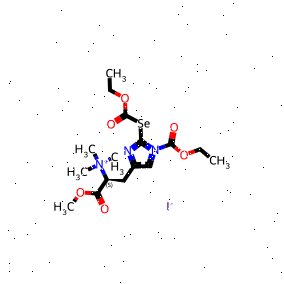 CCOC(=O)[Se]c1nc(C[C@@H](C(=O)OC)[N+](C)(C)C)cn1C(=O)OCC.[I-]